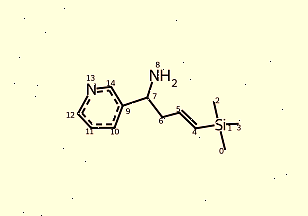 C[Si](C)(C)C=CCC(N)c1cccnc1